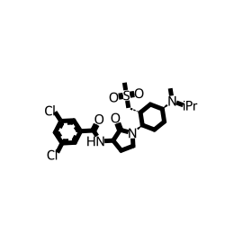 CC(C)N(C)[C@@H]1CC[C@H](N2CCC(NC(=O)c3cc(Cl)cc(Cl)c3)C2=O)[C@H](CS(C)(=O)=O)C1